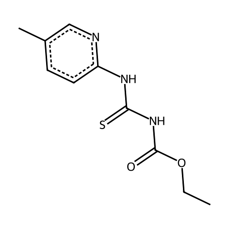 CCOC(=O)NC(=S)Nc1ccc(C)cn1